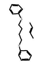 CC=CC.c1ccc(SCCCCSc2ccccc2)cc1